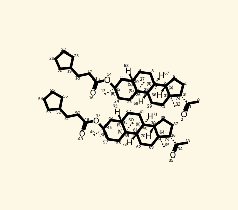 CC(=O)[C@H]1CC[C@H]2[C@@H]3CC[C@H]4C[C@](C)(OC(=O)CCC5CCCC5)CC[C@]4(C)[C@H]3CC[C@]12C.CC(=O)[C@H]1CC[C@H]2[C@@H]3CC[C@H]4C[C@](C)(OC(=O)CCC5CCCC5)CC[C@]4(C)[C@H]3CC[C@]12C